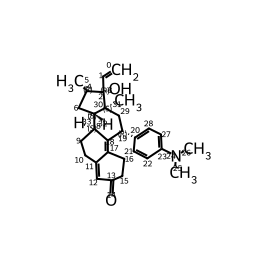 C=C[C@]1(O)[C@H](C)C[C@H]2[C@@H]3CCC4=CC(=O)CCC4=C3[C@@H](c3ccc(N(C)C)cc3)C[C@@]21C